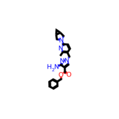 Cc1nc(N2CC3CC3C2)ccc1Cn1cc(C(=O)OCc2ccccc2)c(N)n1